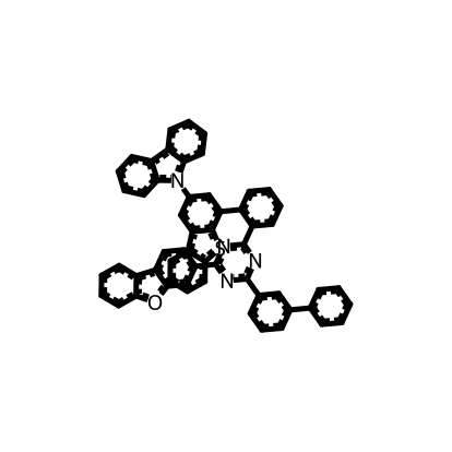 c1ccc(-c2cccc(-c3nc(-c4ccc5c(c4)oc4ccccc45)nc(-c4ccccc4-c4cc(-n5c6ccccc6c6ccccc65)cc5c4sc4ccccc45)n3)c2)cc1